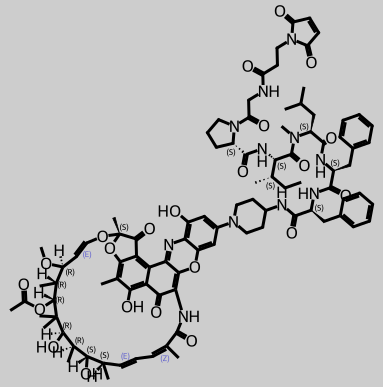 CC[C@H](C)[C@H](NC(=O)[C@@H]1CCCN1C(=O)CNC(=O)CCN1C(=O)C=CC1=O)C(=O)N(C)[C@@H](CC(C)C)C(=O)N[C@@H](Cc1ccccc1)C(=O)N[C@@H](Cc1ccccc1)C(=O)NC1CCN(c2cc(O)c3nc4c5c6c7c(C)c(O)c5c(=O)c(c-4oc3c2)NC(=O)/C(C)=C\C=C\[C@H](C)[C@H](O)[C@@H](C)[C@@H](O)C(C)(C)[C@H](OC(C)=O)[C@H](C)[C@@H](OC)/C=C/O[C@@](C)(O7)C6=O)CC1